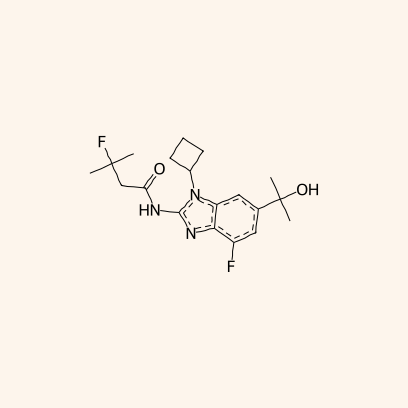 CC(C)(F)CC(=O)Nc1nc2c(F)cc(C(C)(C)O)cc2n1C1CCC1